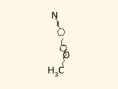 CCCCCOc1ccc(CC[C@H]2CC[C@H](C#CC#N)CC2)cc1